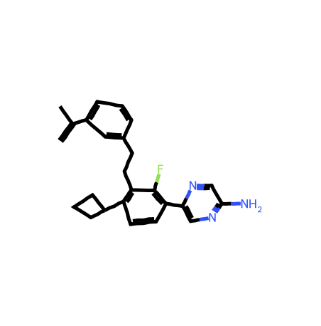 C=C(C)c1cccc(CCc2c(C3CCC3)ccc(-c3cnc(N)cn3)c2F)c1